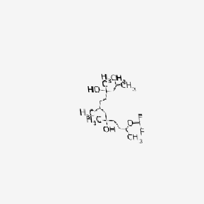 CC(C)CC(C)(O)CCC(C)CC(C)(O)CCC(C)OC(F)F